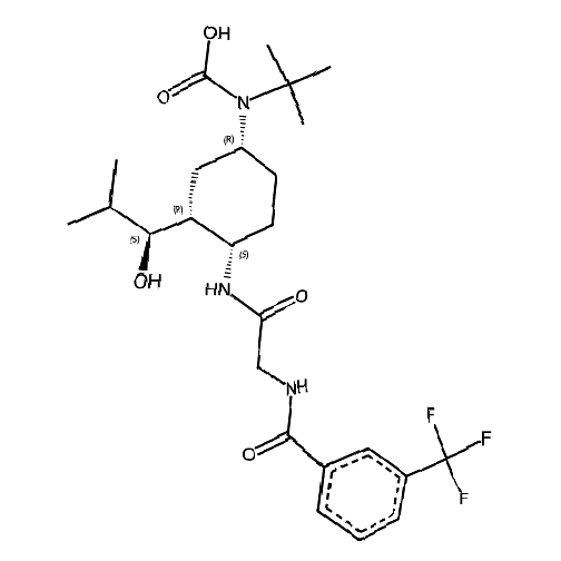 CC(C)[C@H](O)[C@@H]1C[C@H](N(C(=O)O)C(C)(C)C)CC[C@@H]1NC(=O)CNC(=O)c1cccc(C(F)(F)F)c1